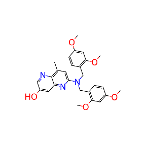 COc1ccc(CN(Cc2ccc(OC)cc2OC)c2cc(C)c3ncc(O)cc3n2)c(OC)c1